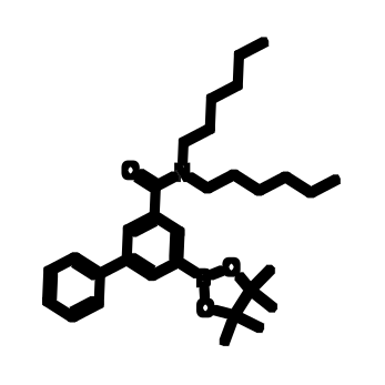 CCCCCCN(CCCCCC)C(=O)c1cc(B2OC(C)(C)C(C)(C)O2)cc(-c2ccccc2)c1